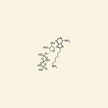 NCCCCCCc1nc2c(N)ncnc2n1[C@@H]1O[C@H](COP(=O)(O)OP(=O)(O)OP(=O)(O)O)C(O)C1O